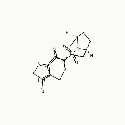 CCc1cc(C(=O)N[C@@H]2C[C@H]3CC[C@@H](C2)N3S(=O)(=O)N2CCC(N)CC2)ns1